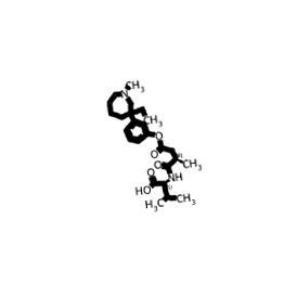 CCC1(c2cccc(OC(=O)C[C@@H](C)C(=O)N[C@H](C(=O)O)C(C)C)c2)CCCCN(C)C1